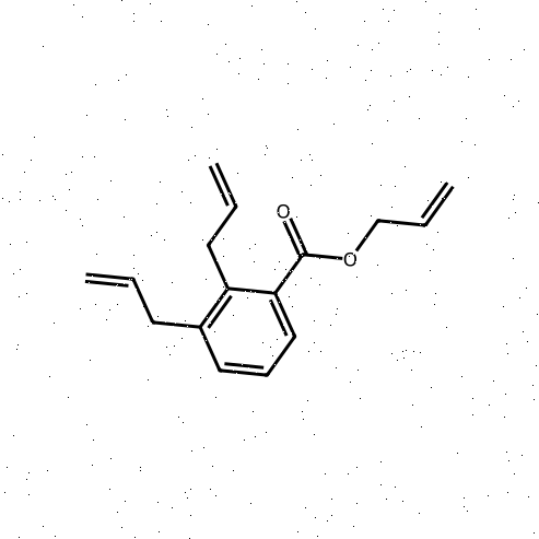 C=CCOC(=O)c1cccc(CC=C)c1CC=C